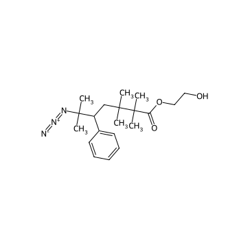 CC(C)(N=[N+]=[N-])C(CC(C)(C)C(C)(C)C(=O)OCCO)c1ccccc1